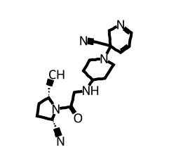 C#C[C@H]1CC[C@@H](C#N)N1C(=O)CNC1CCN(C2(C#N)C=CC=NC2)CC1